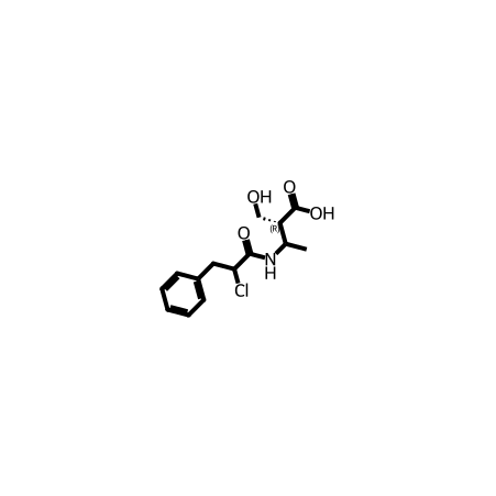 CC(NC(=O)C(Cl)Cc1ccccc1)[C@H](CO)C(=O)O